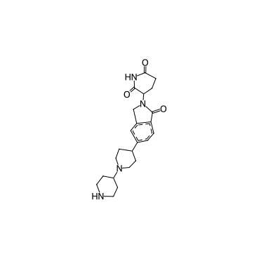 O=C1CCC(N2Cc3cc(C4CCN(C5CCNCC5)CC4)ccc3C2=O)C(=O)N1